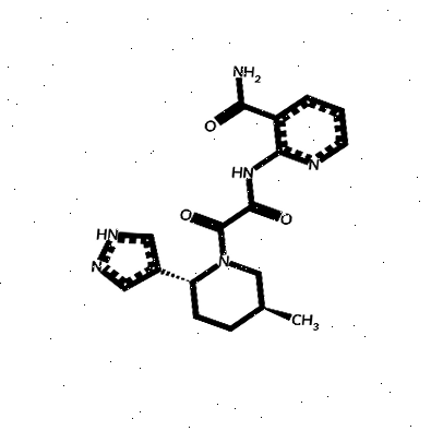 C[C@H]1CC[C@H](c2cn[nH]c2)N(C(=O)C(=O)Nc2ncccc2C(N)=O)C1